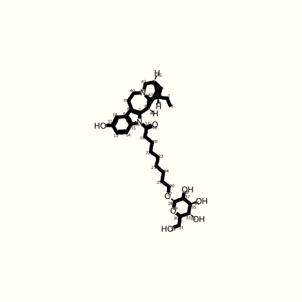 CC[C@H]1C[C@H]2C[C@H]3c4c(c5cc(O)ccc5n4C(=O)CCCCCCCCO[C@H]4OC(CO)[C@@H](O)[C@H](O)C4O)CCN(C2)C13